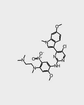 COc1ccc2c(-c3nc(Nc4cc([N+](=O)[O-])c(N(C)CCN(C)C)cc4OC)ncc3Cl)cn(C)c2c1